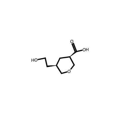 O=C(O)[C@H]1COC[C@@H](CCO)C1